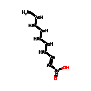 O=[AsH](O)[As]=[As][AsH][AsH][AsH][AsH][AsH][AsH][AsH2]